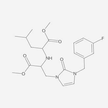 COC(=O)C(CC(C)C)NC(Cn1ccn(Cc2cccc(F)c2)c1=O)C(=O)OC